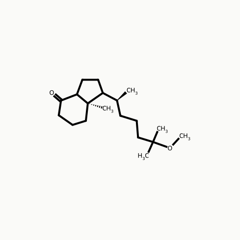 COC(C)(C)CCC[C@H](C)C1CCC2C(=O)CCC[C@@]21C